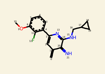 C=C1C=C(c2cccc(OC)c2F)N=C(NCC2CC2)C1=N